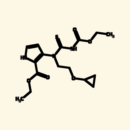 CCOC(=O)NC(=S)N(CCOC1CC1)c1cc[nH]c1C(=O)OCC